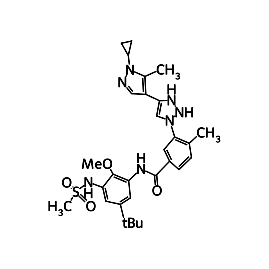 COc1c(NC(=O)c2ccc(C)c(N3C=C(c4cnn(C5CC5)c4C)NN3)c2)cc(C(C)(C)C)cc1NS(C)(=O)=O